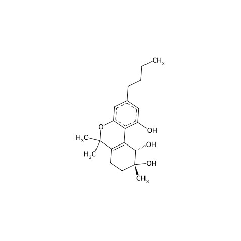 CCCCc1cc(O)c2c(c1)OC(C)(C)C1=C2[C@H](O)[C@](C)(O)CC1